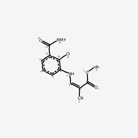 CCCOC(=O)C(C#N)=CNc1cccc(C(=O)NC)c1Cl